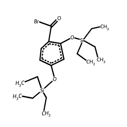 CC[Si](CC)(CC)Oc1ccc(C(=O)Br)c(O[Si](CC)(CC)CC)c1